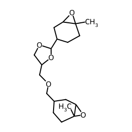 CC12CCC(COCC3COC(C4CCC5(C)OC5C4)O3)CC1O2